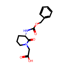 O=C(O)CN1CCC[C@H](NC(=O)OCc2ccccc2)C1=O